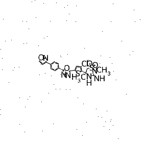 CN1C(=N)N[C@](C)(c2sc(-c3nnc(-c4ccc(-c5ccon5)cc4)o3)cc2Cl)CS1(=O)=O